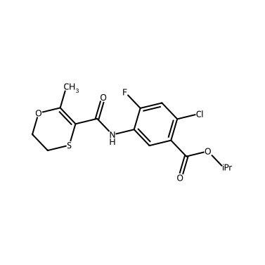 CC1=C(C(=O)Nc2cc(C(=O)OC(C)C)c(Cl)cc2F)SCCO1